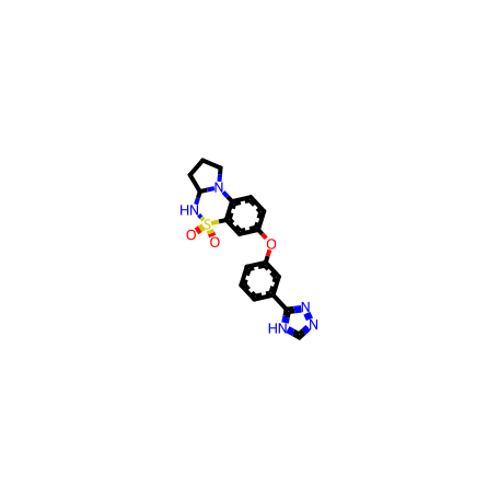 O=S1(=O)NC2CCCN2c2ccc(Oc3cccc(-c4nnc[nH]4)c3)cc21